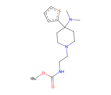 CN(C)C1(c2cccs2)CCN(CCNC(=O)OC(C)(C)C)CC1